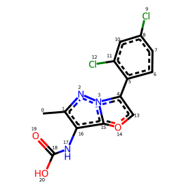 Cc1nn2c(-c3ccc(Cl)cc3Cl)coc2c1NC(=O)O